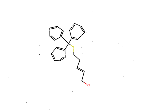 OCC=CCCSC(c1ccccc1)(c1ccccc1)c1ccccc1